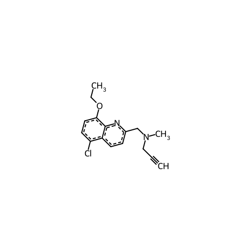 C#CCN(C)Cc1ccc2c(Cl)ccc(OCC)c2n1